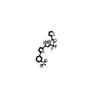 CS(=O)(=O)c1cccc(-c2ccc(C(=N)/C=C(\NC(=O)c3cccs3)C(F)(F)F)s2)c1